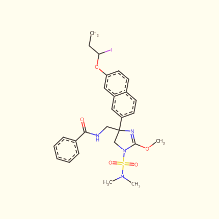 CCC(I)Oc1ccc2ccc(C3(CNC(=O)c4ccccc4)CN(S(=O)(=O)N(C)C)C(OC)=N3)cc2c1